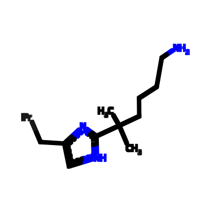 CC(C)Cc1c[nH]c(C(C)(C)CCCCN)n1